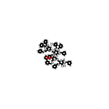 CC1[C@H](OCC2O[C@H](OC3[C@@H](OCC4O[C@H](F)C(OCc5ccccc5)[C@@H](O)[C@@H]4OCc4ccccc4)OC(COCc4ccccc4)[C@@H](OCc4ccccc4)[C@@H]3OCc3ccccc3)C(OCc3ccccc3)[C@@H](OCc3ccccc3)[C@@H]2OCc2ccccc2)OC(COCc2ccccc2)[C@@H](OCc2ccccc2)[C@@H]1OCc1ccccc1